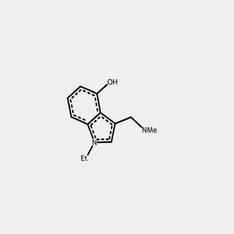 CCn1cc(CNC)c2c(O)cccc21